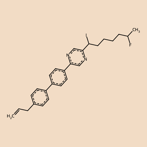 C=CCc1ccc(-c2ccc(-c3cnc(C(I)CCCCC(C)F)cn3)cc2)cc1